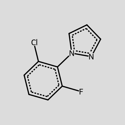 Fc1cccc(Cl)c1-n1cccn1